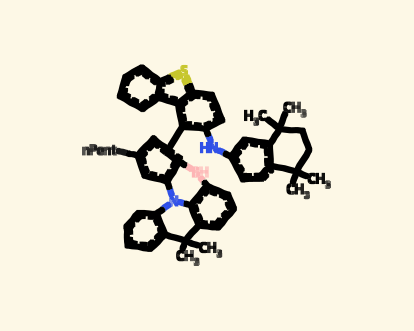 CCCCCc1cc(-c2c(Nc3ccc4c(c3)C(C)(C)CCC4(C)C)ccc3sc4ccccc4c23)c2c(c1)N1c3ccccc3C(C)(C)c3cccc(c31)B2